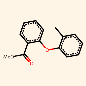 COC(=O)c1ccccc1Oc1ccccc1C